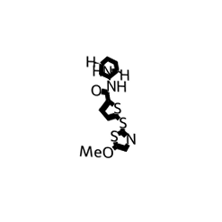 COc1cnc(Sc2ccc(C(=O)N[C@@H]3C[C@H]4CC[C@@H]3N4)s2)s1